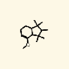 COC1=CCCC2C1C(C)(C)C(C)C2(C)C